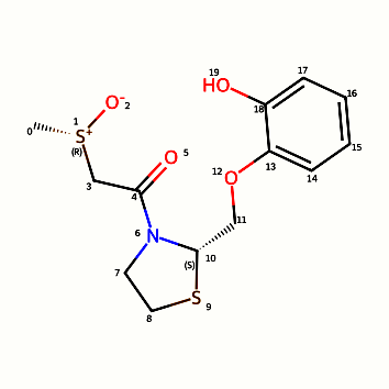 C[S@+]([O-])CC(=O)N1CCS[C@H]1COc1ccccc1O